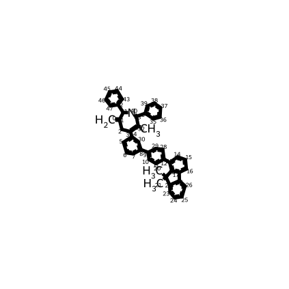 C=C1CC(c2cccc(-c3ccc(-c4cccc5c4C(C)(C)c4ccccc4-5)cc3)c2)=C(C)C(c2ccccc2)=NC1c1ccccc1